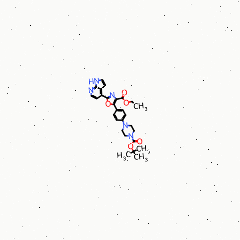 CCOC(=O)c1nc(-c2ccnc3[nH]ccc23)oc1-c1ccc(N2CCN(C(=O)OC(C)(C)C)CC2)cc1